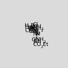 BC(B)(Cl)C(B)(B)N(c1ccc2c(c1)nc(CCC(N)C(=O)NCC(=O)OCC)n2C)C(B)(B)C(B)(B)Cl